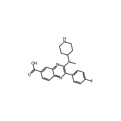 CN(c1nc2cc(C(=O)O)ccc2nc1-c1ccc(F)cc1)C1CCNCC1